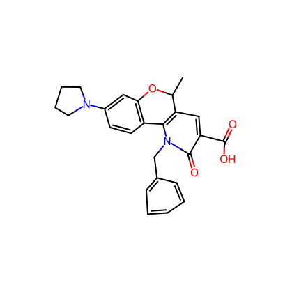 CC1Oc2cc(N3CCCC3)ccc2-c2c1cc(C(=O)O)c(=O)n2Cc1ccccc1